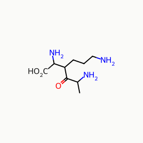 CC(N)C(=O)C(CCCN)C(N)C(=O)O